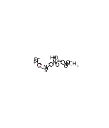 CCS(=O)(=O)c1ccc([C@@H](CO)C(=O)Nc2ccc(-c3csc(Cc4ccc(C(F)(F)F)cc4)n3)cc2)cc1